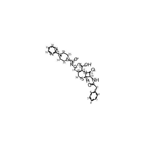 O=C(Cc1ccccc1)N[C@@H]1C(=O)N2C(C(=O)O)=C(CO/N=[N+](\[O-])N3CCN(c4ncccn4)CC3)CS[C@H]12